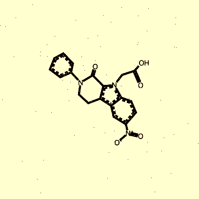 O=C(O)Cn1c2c(c3cc([N+](=O)[O-])ccc31)CCN(c1ccccc1)C2=O